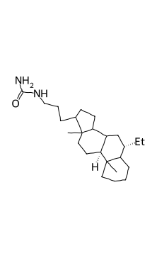 CC[C@H]1CC2C3CCC(CCCNC(N)=O)C3(C)CC[C@@H]2C2(C)CCCCC12